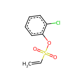 C=CS(=O)(=O)Oc1ccccc1Cl